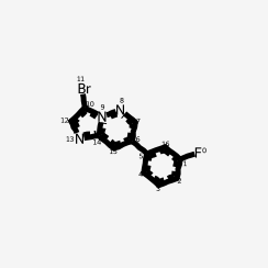 Fc1cccc(-c2cnn3c(Br)cnc3c2)c1